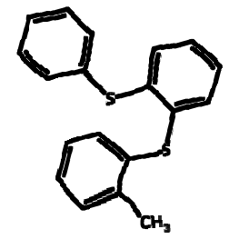 Cc1ccccc1Sc1ccccc1Sc1ccccc1